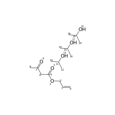 C=CCOC(=O)CC(C)=O.CC(C)O.CC(C)O.CC(C)O